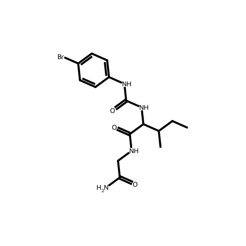 CCC(C)C(NC(=O)Nc1ccc(Br)cc1)C(=O)NCC(N)=O